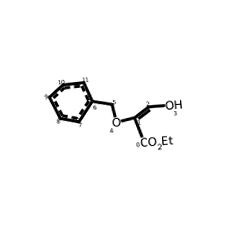 CCOC(=O)C(=CO)OCc1ccccc1